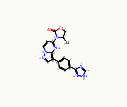 CCC1COC(=O)N1c1ccn2ncc(-c3ccc(-c4nc[nH]n4)cc3)c2n1